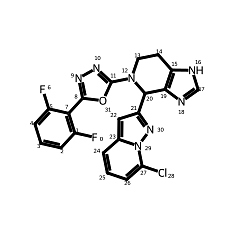 Fc1cccc(F)c1-c1nnc(N2CCc3[nH]cnc3C2c2cc3cccc(Cl)n3n2)o1